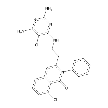 Nc1nc(N)c(Cl)c(NCCc2cc3cccc(Cl)c3c(=O)n2-c2ccccc2)n1